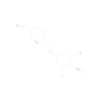 Cc1ccc(COc2cc(F)c([N+](=O)[O-])c(Cl)c2)nc1